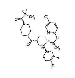 C[C@H](Oc1ccc(Cl)cn1)[C@H]1CCN(C(=O)C2CCN(C(=O)C3(C)CC3)CC2)C[C@@H]1c1ccc(F)c(F)c1